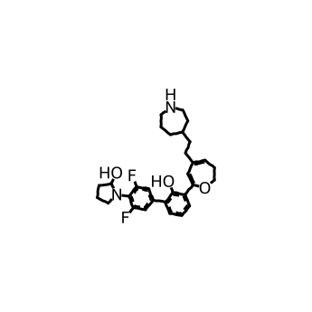 Oc1c(C2=CC(CCC3CCCNCC3)=CCCO2)cccc1-c1cc(F)c(N2CCCC2O)c(F)c1